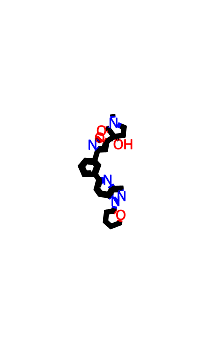 CN1CC[C@@](O)(c2cc(-c3cccc(-c4ccc5c(cnn5C5CCCCO5)n4)c3)no2)C1=O